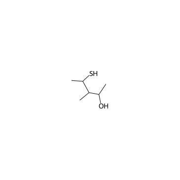 CC(O)C(C)C(C)S